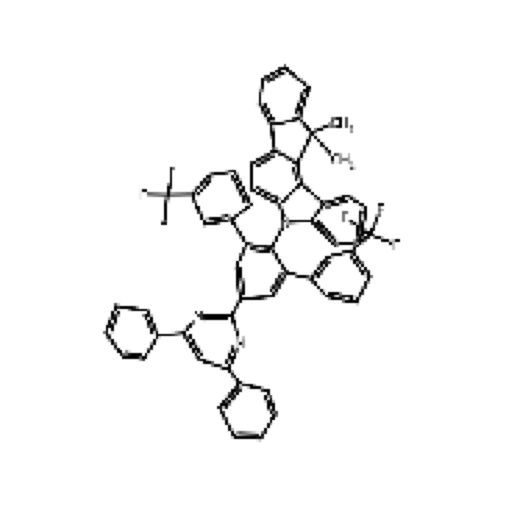 CC1(C)c2ccccc2-c2ccc3c(c21)c1ccccc1n3-c1c(-c2cccc(C(F)(F)F)c2)cc(-c2nc(-c3ccccc3)cc(-c3ccccc3)n2)cc1-c1cccc(C(F)(F)F)c1